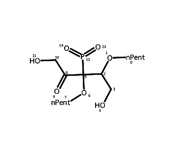 CCCCCOC(CO)C(OCCCCC)(C(=O)CO)P(=O)=O